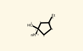 CCC[C@]1(O)CCC(CC)C1